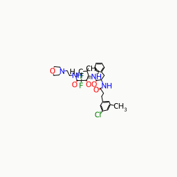 Cc1cc(Cl)cc(CCC(=O)NC(Cc2ccccc2)C(=O)N[C@H](C(=O)C(F)(F)C(=O)NCCN2CCOCC2)C(C)C)c1